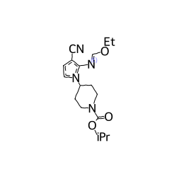 CCO/C=N/c1c(C#N)ccn1C1CCN(C(=O)OC(C)C)CC1